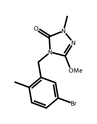 COc1nn(C)c(=O)n1Cc1cc(Br)ccc1C